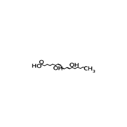 CCCCCC(O)/C=C/C=C\C=C/C(O)CCCCC(=O)O